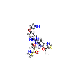 Cc1scnc1-c1cc2cnc(Nc3ccc(OC4CCNC4)cc3)nc2n(Cc2occc2[S+]([O-])c2nccs2)c1=O